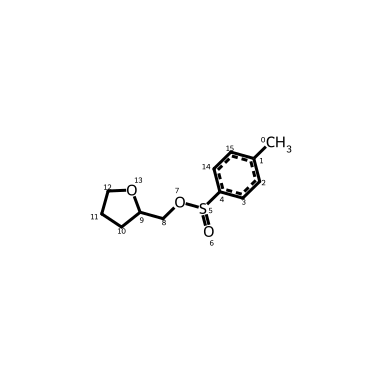 Cc1ccc(S(=O)OCC2CCCO2)cc1